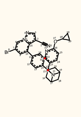 N#Cc1cnn2cc(Br)cc(-c3ccc(N4CC5CC(C4)N5Cc4ccc(OC5CC5)nc4)nc3)c12